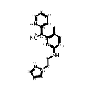 Cc1cnc(NCCn2cccn2)nc1C(C#N)c1ccccn1